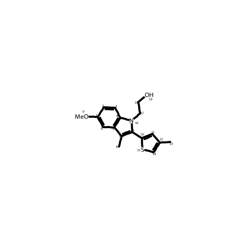 COc1ccc2c(c1)c(C)c(-c1cc(C)cs1)n2CCO